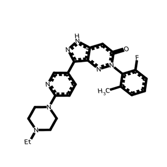 CCN1CCN(c2ccc(-c3n[nH]c4cc(=O)n(-c5c(C)cccc5F)nc34)cn2)CC1